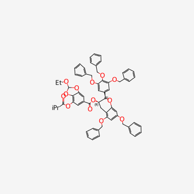 CCOC1Oc2cc(C(=O)O[C@@H]3Cc4c(OCc5ccccc5)cc(OCc5ccccc5)cc4O[C@@H]3c3cc(OCc4ccccc4)c(OCc4ccccc4)c(OCc4ccccc4)c3)cc(OC(=O)C(C)C)c2O1